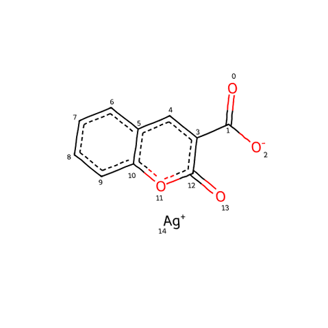 O=C([O-])c1cc2ccccc2oc1=O.[Ag+]